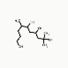 CC(CCCO)C(O)CC(O)CC(C)(C)O